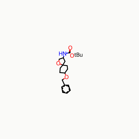 CC(C)(C)OC(=O)NC1COC2(CCC(OCc3ccccc3)CC2)C1